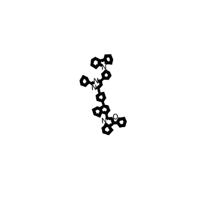 c1ccc(-c2nc(-c3ccc(-c4ccc(-c5nc6ccccc6c6c5oc5ccccc56)c5ccccc45)cc3)cc(-c3cccc(-n4c5ccccc5c5ccccc54)c3)n2)cc1